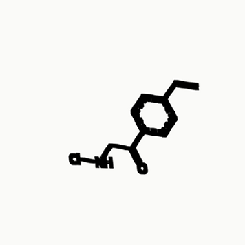 C=Cc1ccc(C(=O)CNCl)cc1